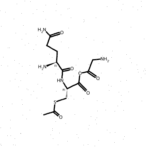 CC(=O)SC[C@H](NC(=O)[C@@H](N)CCC(N)=O)C(=O)OC(=O)CN